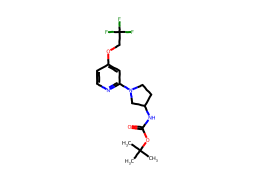 CC(C)(C)OC(=O)NC1CCN(c2cc(OCC(F)(F)F)ccn2)C1